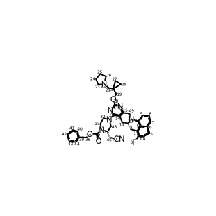 Cc1c(F)ccc2cccc(N3CCc4c(nc(OCC5(CN6CCCC6)CC5)nc4N4CCN(C(=O)OCc5ccccc5)[C@@H](CC#N)C4)C3)c12